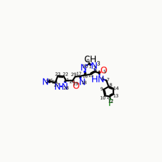 Cc1nc(C(=O)NCc2ccc(F)cc2)cc(C2=NOC(c3ccc(C#N)nn3)C2)n1